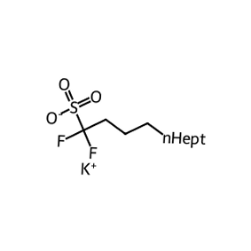 CCCCCCCCCCC(F)(F)S(=O)(=O)[O-].[K+]